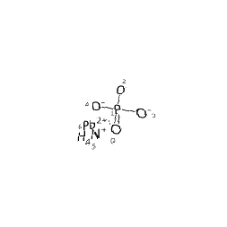 O=P([O-])([O-])[O-].[NH4+].[Pb+2]